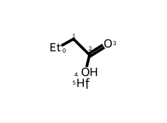 CCCC(=O)O.[Hf]